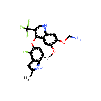 COc1cc2c(Oc3ccc4[nH]c(C)cc4c3F)c(C(F)(F)F)cnc2cc1OCN